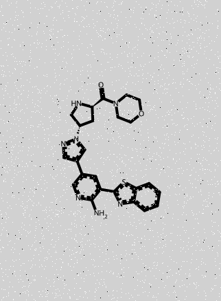 Nc1ncc(-c2cnn([C@@H]3CN[C@@H](C(=O)N4CCOCC4)C3)c2)cc1-c1nc2ccccc2s1